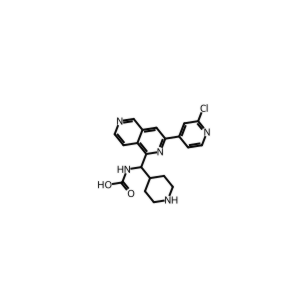 O=C(O)NC(c1nc(-c2ccnc(Cl)c2)cc2cnccc12)C1CCNCC1